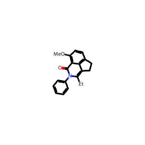 CCc1c2c3c(ccc(OC)c3c(=O)n1-c1ccccc1)CC2